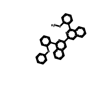 COc1ccccc1-c1nc(-c2cc3ccccc3c(-c3ccccc3Oc3ccccc3)n2)cc2ccccc12